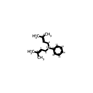 CC(C)=CCN(CC=C(C)C)c1ccccc1